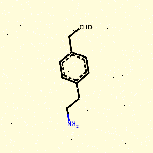 NCCc1ccc(C[C]=O)cc1